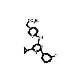 CCOC(=O)Cc1ccc(Nc2cc(C3CC3)nc(-c3cccc(Cl)c3)n2)nc1